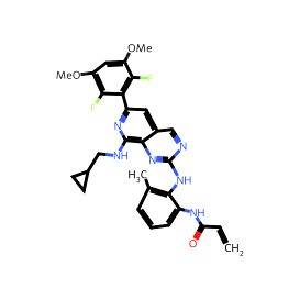 C=CC(=O)Nc1cccc(C)c1Nc1ncc2cc(-c3c(F)c(OC)cc(OC)c3F)nc(NCC3CC3)c2n1